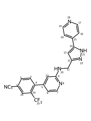 N#Cc1ccc(-c2ccnc(NCc3cc(-c4ccncc4)[nH]n3)c2)c(C(F)(F)F)c1